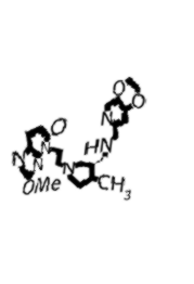 COc1cnc2ccc(=O)n(CCN3CCC(C)[C@@H](CNCc4cc5c(cn4)OCCO5)C3)c2n1